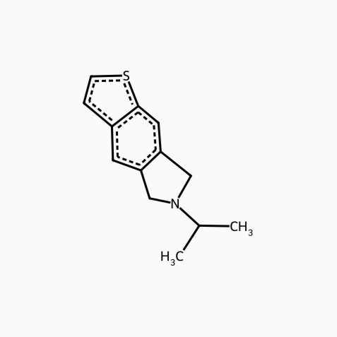 CC(C)N1Cc2cc3ccsc3cc2C1